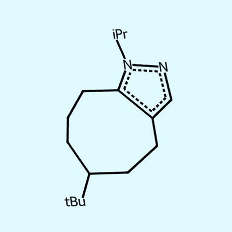 CC(C)n1ncc2c1CCCC(C(C)(C)C)CC2